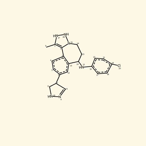 CC1=C2c3ccc(C4C=NNC4)cc3C(Nc3ccc(Cl)cc3)CCN2NN1